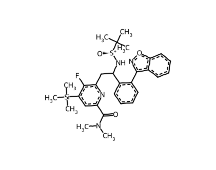 CN(C)C(=O)c1cc([Si](C)(C)C)c(F)c(CC(N[S@@+]([O-])C(C)(C)C)c2ccccc2-c2noc3ccccc23)n1